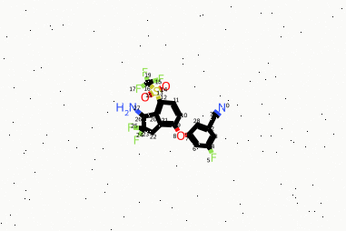 N#Cc1cc(F)cc(Oc2ccc(S(=O)(=O)C(F)(F)F)c3c2CC(F)(F)C3N)c1